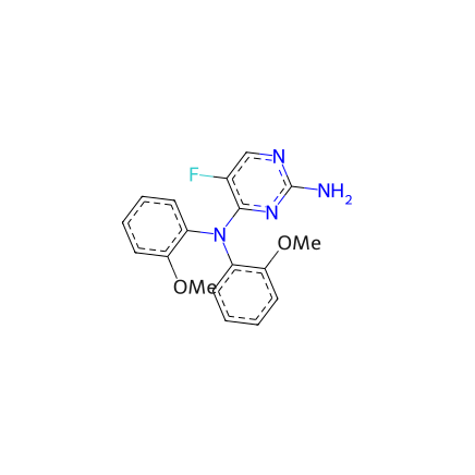 COc1ccccc1N(c1ccccc1OC)c1nc(N)ncc1F